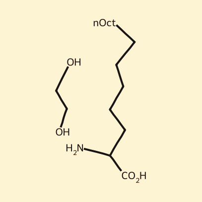 CCCCCCCCCCCCCC(N)C(=O)O.OCCO